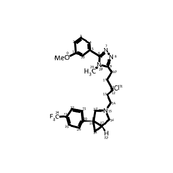 COc1cccc(-c2nnc(CCCCCN3C[C@@H]4C[C@]4(c4ccc(C(F)(F)F)cc4)C3)n2C)c1.Cl